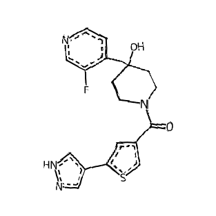 O=C(c1csc(-c2cn[nH]c2)c1)N1CCC(O)(c2ccncc2F)CC1